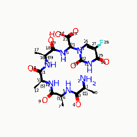 C[C@H](N)C(=O)N[C@@H](C)C(=O)N[C@@H](C)C(=O)N[C@@H](C)C(=O)NC(C(=O)O)n1cc(F)c(=O)[nH]c1=O